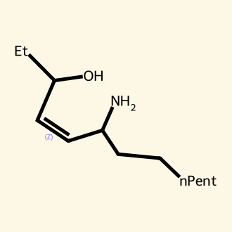 CCCCCCCC(N)/C=C\C(O)CC